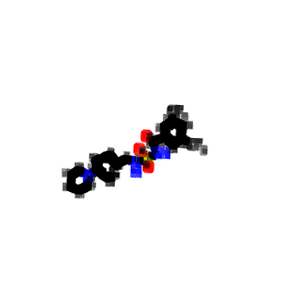 O=C(NS(=O)(=O)NCc1ccc(N2CCCCC2)cc1)c1cc(C(F)(F)F)cc(C(F)(F)F)c1